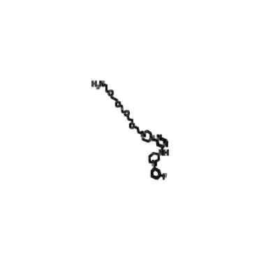 NCCOCCOCCOCCOCCN1CCN(c2cc(N[C@@H]3CCCN(c4cccc(F)c4)C3)ncn2)CC1